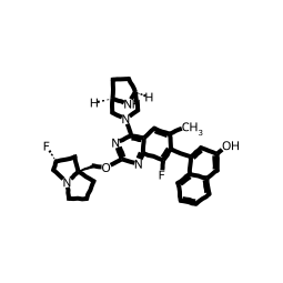 Cc1cc2c(N3C[C@H]4CC[C@@H](C3)N4)nc(OC[C@@]34CCCN3C[C@H](F)C4)nc2c(F)c1-c1cc(O)cc2ccccc12